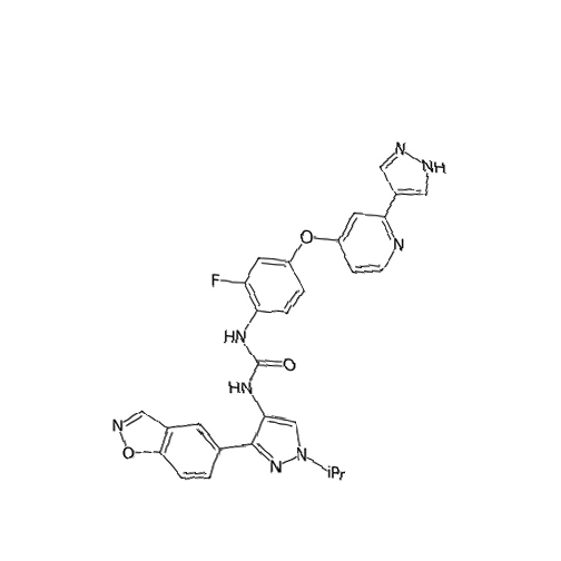 CC(C)n1cc(NC(=O)Nc2ccc(Oc3ccnc(-c4cn[nH]c4)c3)cc2F)c(-c2ccc3oncc3c2)n1